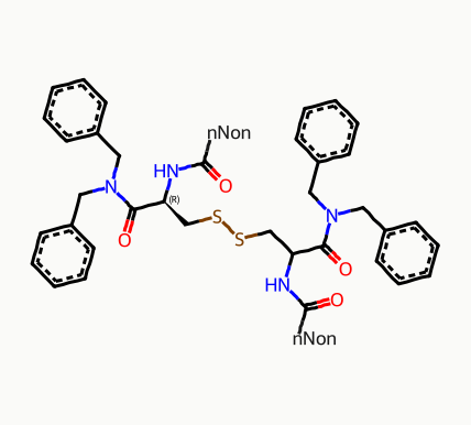 CCCCCCCCCC(=O)NC(CSSC[C@H](NC(=O)CCCCCCCCC)C(=O)N(Cc1ccccc1)Cc1ccccc1)C(=O)N(Cc1ccccc1)Cc1ccccc1